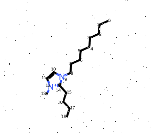 CCCCCCCCCn1cc[n+](C)c1CCCC